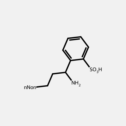 CCCCCCCCCCCC(N)c1ccccc1S(=O)(=O)O